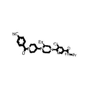 CC[C@H]1CN(c2ncc(C(=O)NC(C)C)cc2Cl)CCN1C1CCN(C(=O)c2ccc(C#N)cc2)CC1